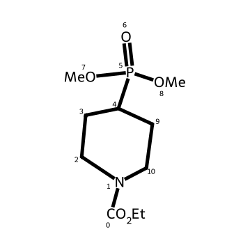 CCOC(=O)N1CCC(P(=O)(OC)OC)CC1